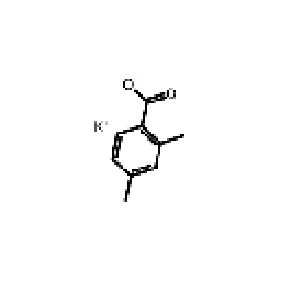 Cc1ccc(C(=O)[O-])c(C)c1.[K+]